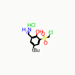 CC(C)(C)c1cc(CN)c(O)c(S(=O)(=O)CCl)c1.Cl